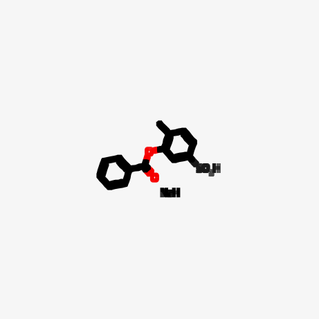 Cc1ccc(S(=O)(=O)O)cc1OC(=O)c1ccccc1.[NaH]